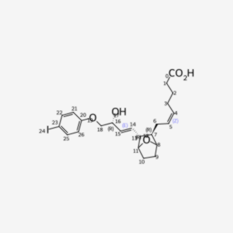 O=C(O)CCC/C=C\C[C@H]1C2CCC(O2)[C@@H]1/C=C/[C@@H](O)COc1ccc(I)cc1